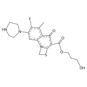 Cc1c(F)c(N2CCNCC2)cc2c1c(=O)c(C(=O)OCCCO)c1n2CS1